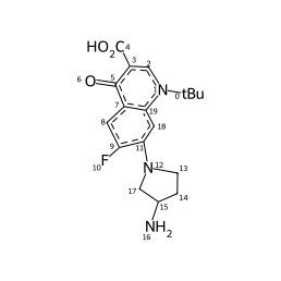 CC(C)(C)n1cc(C(=O)O)c(=O)c2cc(F)c(N3CCC(N)C3)cc21